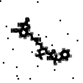 CC(C)(C)CN(CCNCCc1ccc(O)c2[nH]c(=O)sc12)CCC(=O)NC(C)(C)Cc1ccccc1